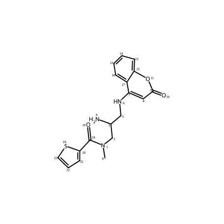 CN(CC(N)CNc1cc(=O)oc2ccccc12)C(=O)c1cccs1